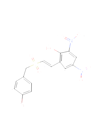 O=[N+]([O-])c1cc(/C=C/S(=O)(=O)Cc2ccc(Br)cc2)c(O)c([N+](=O)[O-])c1